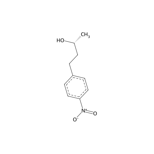 C[C@@H](O)CCc1ccc([N+](=O)[O-])cc1